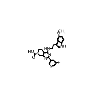 COc1ccc2[nH]cc(CCNc3nc(-c4cncc(F)c4)nc4c3CCN(C(=O)O)C4)c2c1